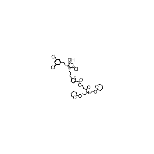 O=C(OCCC(=O)N(CCOC1CCCCO1)CCOC1CCCCO1)c1ccc(CCC[C@@H]2[C@@H](CCc3cc(Cl)cc(Cl)c3)[C@H](O)C[C@H]2Cl)s1